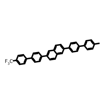 Cc1ccc(-c2ccc(-c3ccc4cc(-c5ccc(-c6ccc(C(F)(F)F)cc6)cc5)ccc4c3)cc2)cc1